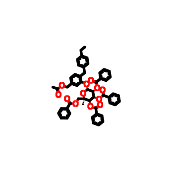 CCc1ccc(Cc2ccc(COC(C)=O)cc2O[C@H]2O[C@](C)(COC(=O)c3ccccc3)[C@@H](OC(=O)c3ccccc3)[C@H](OC(=O)c3ccccc3)[C@H]2OC(=O)c2ccccc2)cc1